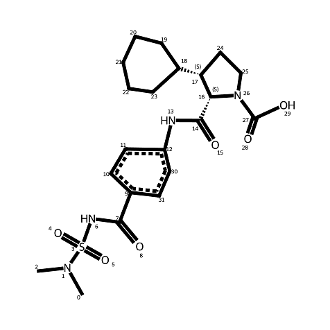 CN(C)S(=O)(=O)NC(=O)c1ccc(NC(=O)[C@@H]2[C@H](C3CCCCC3)CCN2C(=O)O)cc1